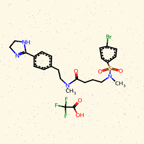 CN(CCc1ccc(C2=NCCN2)cc1)C(=O)CCCN(C)S(=O)(=O)c1ccc(Br)cc1.O=C(O)C(F)(F)F